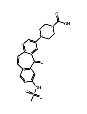 CS(=O)(=O)Nc1ccc2ccc3ncc(N4CCN(C(=O)O)CC4)cc3c(=O)c2c1